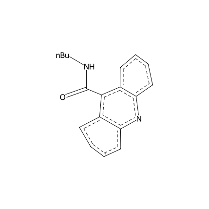 CCCCNC(=O)c1c2ccccc2nc2ccccc12